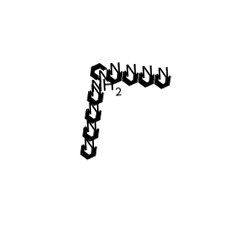 Nc1ccccn1.c1ccncc1.c1ccncc1.c1ccncc1.c1ccncc1.c1ccncc1.c1ccncc1.c1ccncc1.c1ccncc1